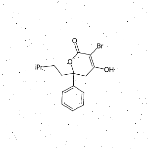 CC(C)CCC1(c2ccccc2)CC(O)=C(Br)C(=O)O1